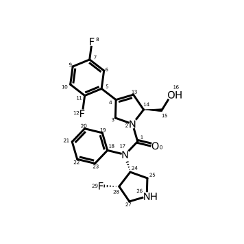 O=C(N1CC(c2cc(F)ccc2F)=C[C@H]1CO)N(c1ccccc1)[C@@H]1CNC[C@@H]1F